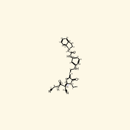 CCn1c(=O)c(=C=CNc2cccc(NC(=O)CN3CCc4ccccc43)c2)s/c1=C(/C#N)C(=O)NCC#N